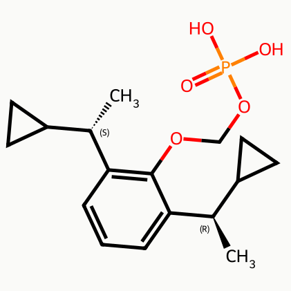 C[C@H](c1cccc([C@H](C)C2CC2)c1OCOP(=O)(O)O)C1CC1